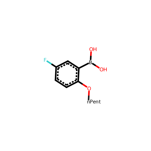 CCCCCOc1ccc(F)cc1B(O)O